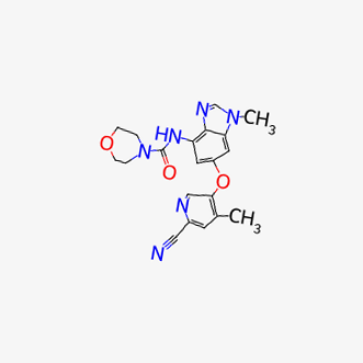 Cc1cc(C#N)ncc1Oc1cc(NC(=O)N2CCOCC2)c2ncn(C)c2c1